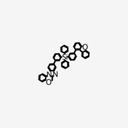 c1ccc([Si](c2ccccc2)(c2cccc(-c3ccc4c(c3)nc3n4-c4ccccc4OC3)c2)c2cccc(-c3cccc4oc5ccccc5c34)c2)cc1